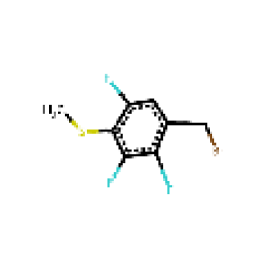 CSc1c(F)cc(CBr)c(F)c1F